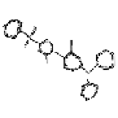 Cc1cc(N(c2ccccc2)c2ccccc2)ccc1-c1ccc(S(=O)(=O)c2ccccc2)cc1C